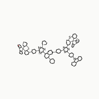 c1ccc(-c2nc(-c3ccc(-c4cccc5c4Sc4ccccc4C54c5ccccc5-c5ccccc54)cc3)nc(-c3ccc(-c4ccccc4)c4cc(-c5ccc(-c6nc(-c7ccc(-n8c9ccccc9c9ccccc98)cc7)nc(-c7ccc8c(c7)C7(c9ccccc9S8)c8ccccc8-c8ccccc87)n6)cc5)ccc34)n2)cc1